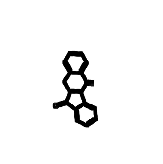 O=C1C2=C(Nc3ccccc3C2)c2ccccc21